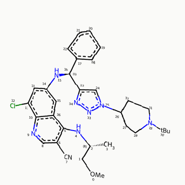 COC[C@@H](C)Nc1c(C#N)cnc2c(Cl)cc(N[C@@H](c3ccccc3)c3cn(C4CCN(C(C)(C)C)CC4)nn3)cc12